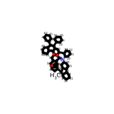 CC1(c2ccccc2)c2ccccc2-c2ccc(N(c3ccccc3-c3ccc4c(c3)c(-c3ccccc3)c(-c3ccccc3)c3ccccc34)c3cccc4ccccc34)cc21